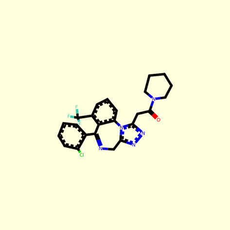 O=C(Cc1nnc2n1-c1cccc(C(F)(F)F)c1C(c1ccccc1Cl)=NC2)N1CCCCC1